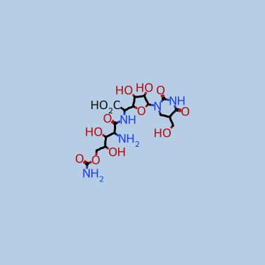 NC(=O)OCC(O)C(O)C(N)C(=O)NC(C(=O)O)C1OC(N2CC(CO)C(=O)NC2=O)C(O)C1O